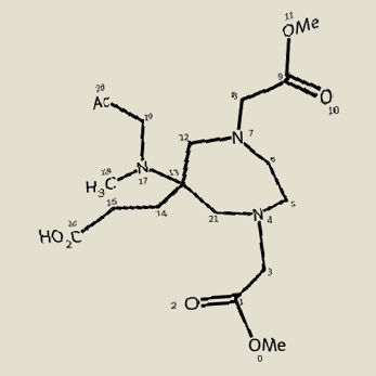 COC(=O)CN1CCN(CC(=O)OC)CC(CCC(=O)O)(N(C)CC(C)=O)C1